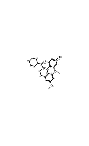 COc1cc2c(c(OC)c1)C(c1ccc(O)cc1)N(C(=O)C1CCCCC1)CC2